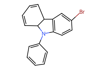 Brc1ccc2c(c1)C1C=CC=CC1N2c1ccccc1